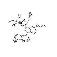 CCCOc1ccc2c(-c3ncnc4[nH]ccc34)cn(C3(CC#N)CN(S(=O)(=O)CC)C3)c2c1